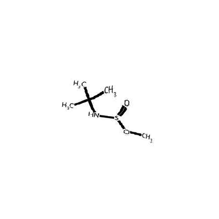 COS(=O)NC(C)(C)C